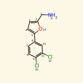 NCc1ccc(-c2ccc(Cl)c(Cl)c2)o1